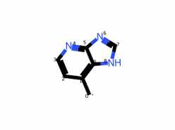 [CH2]c1ccnc2nc[nH]c12